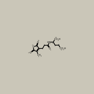 CC1=C(CCC(=O)NC(CCC(=O)O)C(=O)O)C(=O)OC1=O